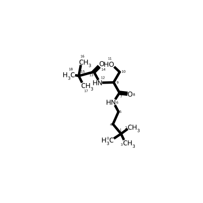 CC(C)(C)CCNC(=O)C(CO)NC(=O)C(C)(C)C